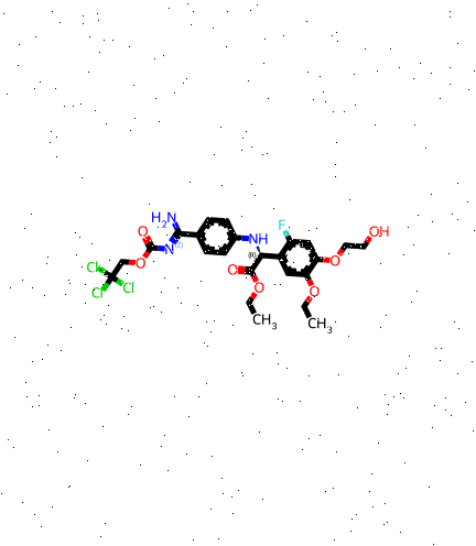 CCOC(=O)[C@H](Nc1ccc(/C(N)=N/C(=O)OCC(Cl)(Cl)Cl)cc1)c1cc(OCC)c(OCCO)cc1F